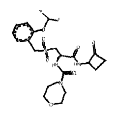 O=C1CCC1NC(=O)C(CS(=O)(=O)Cc1ccccc1OC(F)F)NC(=O)N1CCOCC1